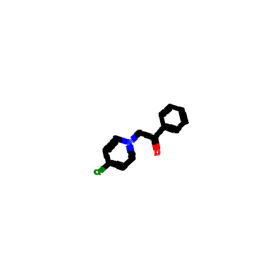 O=C(C[n+]1ccc(Cl)cc1)c1ccccc1